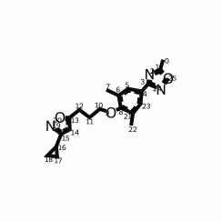 Cc1nc(-c2cc(C)c(OCCCc3cc(C4CC4)no3)c(C)c2)no1